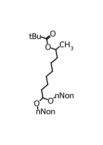 CCCCCCCCCOC(CCCCCCC(C)OC(=O)C(C)(C)C)OCCCCCCCCC